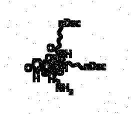 CCCCCCCCCCCCCCCC(=O)C(O)[C@H]1O[C@@H](n2ccc(=O)[nH]c2=O)[C@H](NC(=O)CCN)[C@@]1(O)C(=O)CCCCCCCCCCCCCCC